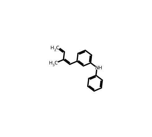 C=CC(C)=Cc1cccc(Nc2ccccc2)c1